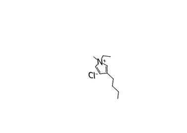 CCCCC1=C[N+](C)(CC)C=C1.[Cl-]